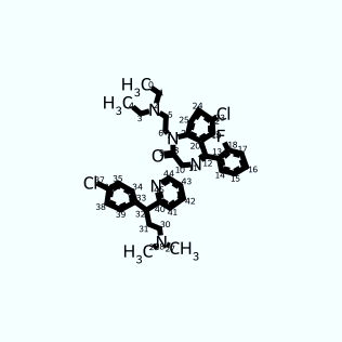 CCN(CC)CCN1C(=O)CN=C(c2ccccc2F)c2cc(Cl)ccc21.CN(C)CCC(c1ccc(Cl)cc1)c1ccccn1